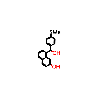 CSc1ccc(C(O)c2cccc3ccc(O)cc23)cc1